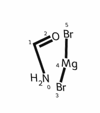 NC=O.[Br][Mg][Br]